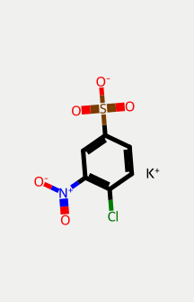 O=[N+]([O-])c1cc(S(=O)(=O)[O-])ccc1Cl.[K+]